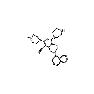 CN1CCN(c2nc(N3CCNCC3)c3c(c2C#N)CN(c2cccc4ccccc24)CC3)CC1